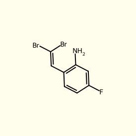 Nc1cc(F)ccc1C=C(Br)Br